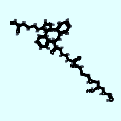 O=POCC(O)COCCCNC(=O)CCCCC(=O)N1Cc2ccccc2-c2nnn(CCCCC(=O)O)c2-c2ccccc21